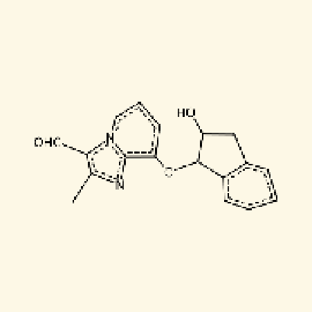 Cc1nc2c(OC3c4ccccc4CC3O)cccn2c1C=O